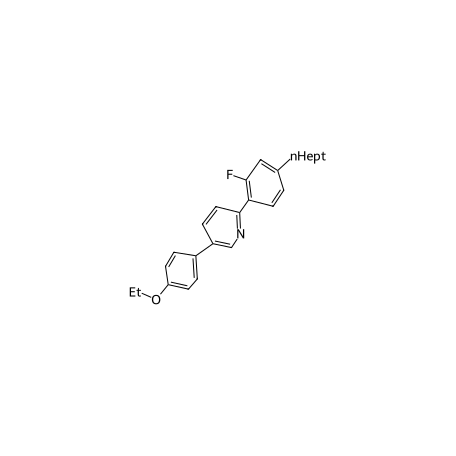 CCCCCCCc1ccc(-c2ccc(-c3ccc(OCC)cc3)cn2)c(F)c1